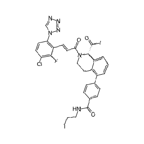 O=C(NCCI)c1ccc(-c2cccc3c2CCN(C(=O)/C=C/c2c(-n4cnnn4)ccc(Cl)c2F)[C@@H]3C(=O)I)cc1